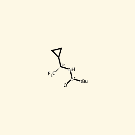 CC(C)(C)[S+]([O-])N[C@@H](C1CC1)C(F)(F)F